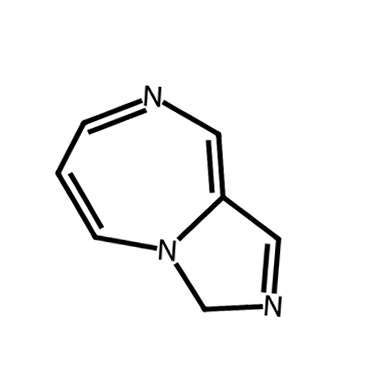 C1=CN2CN=CC2=CN=C1